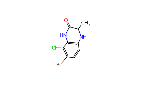 CC1Nc2ccc(Br)c(Cl)c2NC1=O